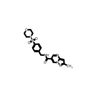 Cc1cc2ncc(C(=O)NCc3ccc(S(=O)(=O)N4CCOCC4)cc3)cn2n1